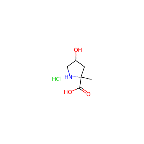 CC1(C(=O)O)CC(O)CN1.Cl